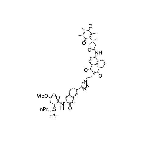 CCCC(CCC)SC(CC(=O)OC)C(=O)Nc1cc2ccc(-c3cn(CCN4C(=O)c5cccc6c(NC(=O)CC(C)(C)C7=C(C)C(=O)C(C)=C(C)C7=O)ccc(c56)C4=O)nn3)cc2oc1=O